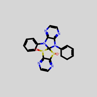 [O-][S+]1c2nccnc2[S+]([O-])C12N(C1=CC=CCC1)c1nccnc1N2c1ccccc1